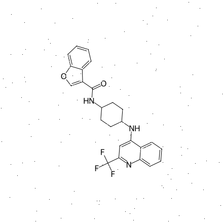 O=C(NC1CCC(Nc2cc(C(F)(F)F)nc3ccccc23)CC1)c1coc2ccccc12